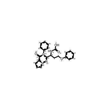 O=C(O)NC(CCOc1ccccc1)c1nn2cccc2c(=O)n1-c1ccccc1